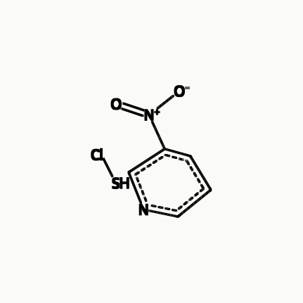 O=[N+]([O-])c1cccnc1.SCl